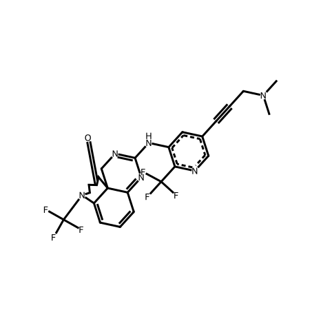 CN(C)CC#Cc1cnc(C(F)(F)F)c(NC2=NCC34CC(=O)CCN(C(F)(F)F)C3=CC=CC4=N2)c1